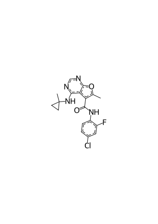 Cc1oc2ncnc(NC3(C)CC3)c2c1C(=O)Nc1ccc(Cl)cc1F